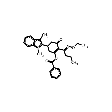 CCCC(=NOCC)C1=C(OC(=O)c2ccccc2)CC(c2c(C)c3ccccc3n2C)CC1=O